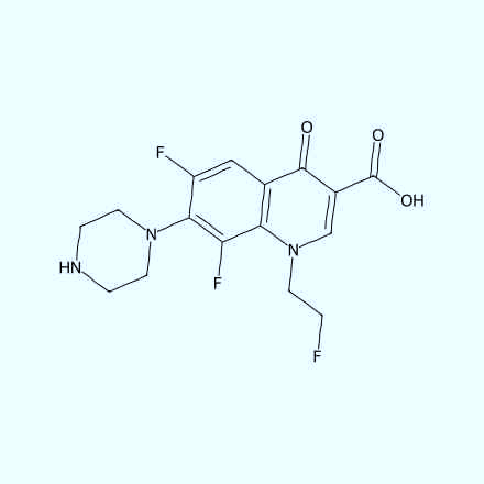 O=C(O)c1cn(CCF)c2c(F)c(N3CCNCC3)c(F)cc2c1=O